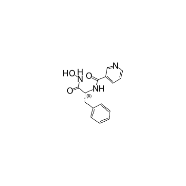 O=C(N[C@H](Cc1ccccc1)C(=O)NO)c1cccnc1